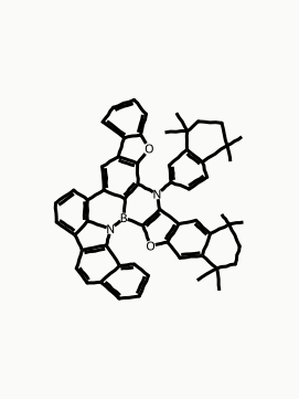 CC1(C)CCC(C)(C)c2cc(N3c4c(oc5cc6c(cc45)C(C)(C)CCC6(C)C)B4c5c(cc6c(oc7ccccc76)c53)-c3cccc5c6ccc7ccccc7c6n4c35)ccc21